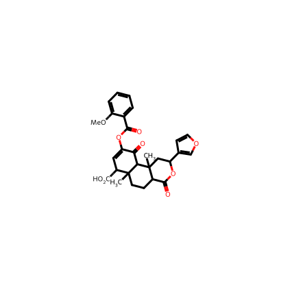 COc1ccccc1C(=O)OC1=CC(C(=O)O)C2(C)CCC3C(=O)OC(c4ccoc4)CC3(C)C2C1=O